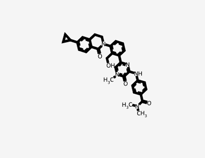 CN(C)C(=O)c1ccc(Nc2nc(-c3cccc(N4CCc5cc(C6CC6)ccc5C4=O)c3CO)cn(C)c2=O)cc1